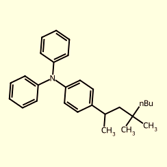 CCCCC(C)(C)CC(C)c1ccc(N(c2ccccc2)c2ccccc2)cc1